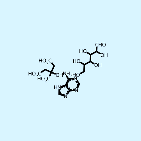 Nc1ncnc2nc[nH]c12.O=C(O)CC(O)(CC(=O)O)C(=O)O.O=CC(O)C(O)C(O)C(O)CO